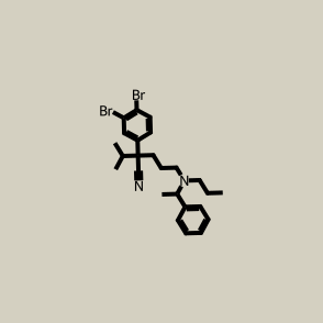 CCCN(CCCC(C#N)(c1ccc(Br)c(Br)c1)C(C)C)C(C)c1ccccc1